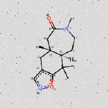 CN1CC[C@H]2C(C)(C)c3oncc3C[C@]2(C)CC1=O